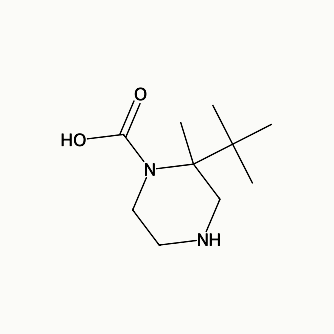 CC(C)(C)C1(C)CNCCN1C(=O)O